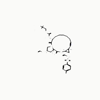 CC(C)(C)COC(=O)N[C@H]1CCCCC/C=C\[C@@H]2C[C@@]2(C(=O)NS(=O)(=O)c2ccc(Cl)cc2)NC(=O)[C@@H]2C[C@@H](OC=O)CN2C1=O